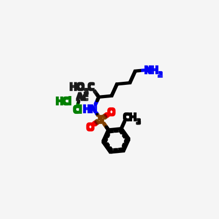 CC(=O)Cl.Cc1ccccc1S(=O)(=O)NC(CCCCN)C(=O)O.Cl